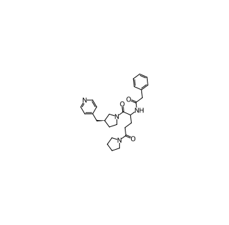 O=C(Cc1ccccc1)NC(CCC(=O)N1CCCC1)C(=O)N1CC[C@@H](Cc2ccncc2)C1